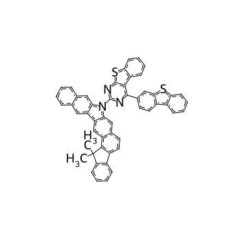 CC1(C)c2ccccc2-c2ccc3cc4c(cc3c21)c1cc2ccccc2cc1n4-c1nc(-c2ccc3c(c2)sc2ccccc23)c2c(n1)sc1ccccc12